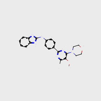 CCOc1c(C(=O)O)nc(-c2ccc(Nc3nc4ccccc4[nH]3)cc2)nc1N1CCOCC1